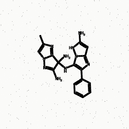 Cc1cn2c(n1)C(N)(Nc1c(-c3ccccc3)nc3cc(N)[nH]n13)C(N)=N2